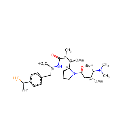 CCCC(P)c1ccc(C[C@H](NC(=O)[C@H](C)[C@@H](OC)[C@@H]2CCCN2C(=O)C[C@@H](OC)C([C@@H](C)CC)N(C)C)C(=O)O)cc1